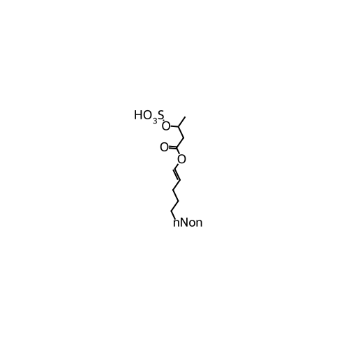 CCCCCCCCCCCCC=COC(=O)CC(C)OS(=O)(=O)O